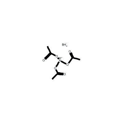 CC(=O)O[NH+](OC(C)=O)OC(C)=O.[BH4-]